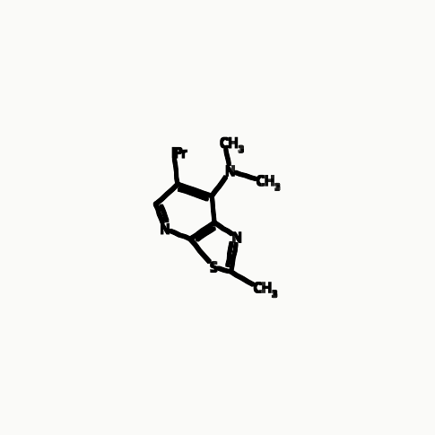 Cc1nc2c(N(C)C)c(C(C)C)cnc2s1